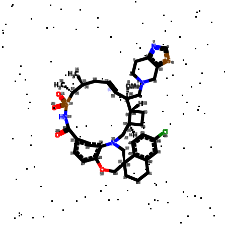 CO[C@@]1(CN2CCc3ncsc3C2)/C=C/C[C@H](C)[C@@H](C)S(=O)(=O)NC(=O)c2ccc3c(c2)N(C[C@@H]2CC[C@H]21)C[C@@]1(CCCc2cc(Cl)ccc21)CO3